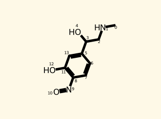 CNCC(O)c1ccc(N=O)c(O)c1